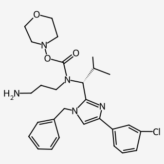 CC(C)[C@H](c1nc(-c2cccc(Cl)c2)cn1Cc1ccccc1)N(CCCN)C(=O)ON1CCOCC1